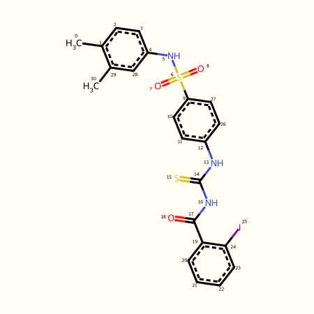 Cc1ccc(NS(=O)(=O)c2ccc(NC(=S)NC(=O)c3ccccc3I)cc2)cc1C